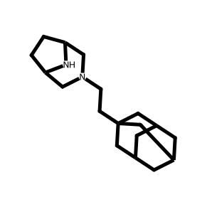 C1C2CC3CC1CC(CCN1CC4CCC(C1)N4)(C2)C3